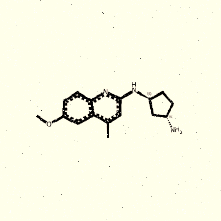 COc1ccc2nc(N[C@H]3CC[C@H](N)C3)cc(C)c2c1